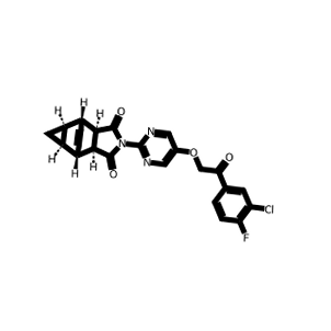 O=C(COc1cnc(N2C(=O)[C@@H]3[C@@H]4C=C[C@@H]([C@H]5C[C@@H]45)[C@@H]3C2=O)nc1)c1ccc(F)c(Cl)c1